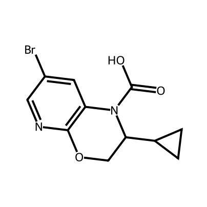 O=C(O)N1c2cc(Br)cnc2OCC1C1CC1